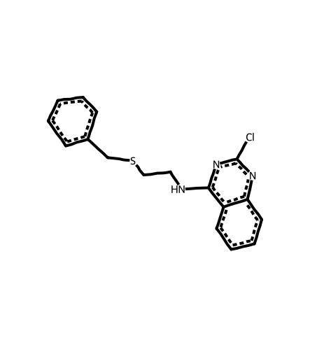 Clc1nc(NCCSCc2ccccc2)c2ccccc2n1